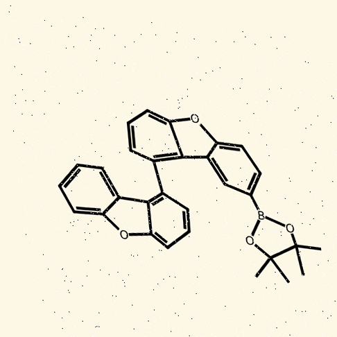 CC1(C)OB(c2ccc3oc4cccc(-c5cccc6oc7ccccc7c56)c4c3c2)OC1(C)C